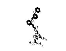 COC[C@H](COC(=O)CCc1ccccc1OCc1cccc(Oc2ccccc2)c1)OP(=O)(O)OC[C@@H](C)N